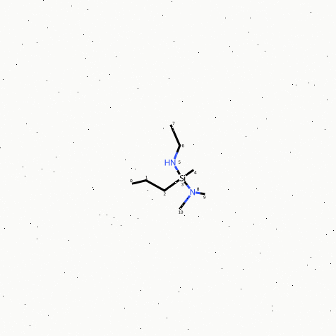 CCC[Si](C)(NCC)N(C)C